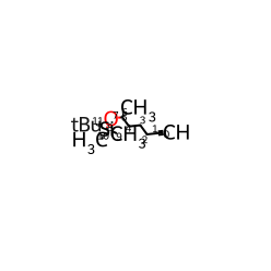 C#CCCCC(C)O[Si](C)(C)C(C)(C)C